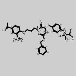 CC(=O)c1ccc(OCCCNC(=O)[C@H](Cc2ccc(OP(=O)(O)C(F)F)cc2)NC(=O)OCc2ccccc2)c([N+](=O)[O-])c1